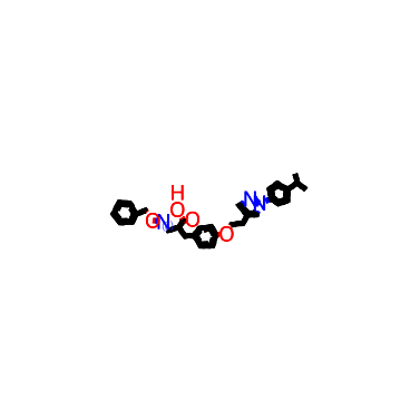 CC(C)c1ccc(-n2cc(CCOc3ccc(CC(/C=N/OCc4ccccc4)C(=O)O)cc3)cn2)cc1